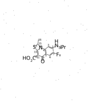 CC(C)Nc1cc2c(cc1F)c(=O)c(C(=O)O)c1n2C(C)S1